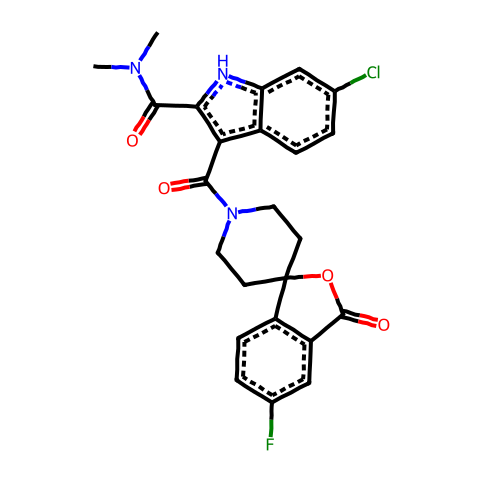 CN(C)C(=O)c1[nH]c2cc(Cl)ccc2c1C(=O)N1CCC2(CC1)OC(=O)c1cc(F)ccc12